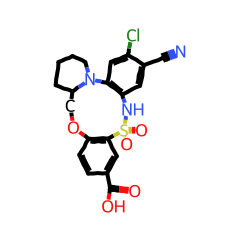 N#Cc1cc2c(cc1Cl)N1CCCCC1COc1ccc(C(=O)O)cc1S(=O)(=O)N2